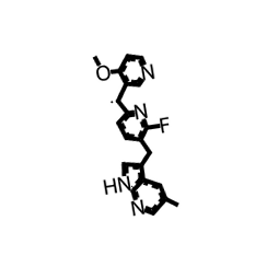 COc1ccncc1[CH]c1ccc(Cc2c[nH]c3ncc(C)cc23)c(F)n1